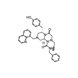 C#CCN1CC(=O)N2[C@@H](Cc3ccc(O)cc3)CN(Cc3cccc4cccnc34)C[C@@H]2N1C(=O)NCc1ccccc1